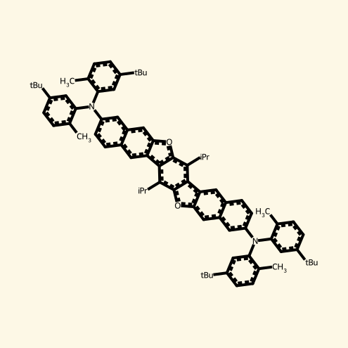 Cc1ccc(C(C)(C)C)cc1N(c1ccc2cc3c(cc2c1)oc1c(C(C)C)c2c(oc4cc5cc(N(c6cc(C(C)(C)C)ccc6C)c6cc(C(C)(C)C)ccc6C)ccc5cc42)c(C(C)C)c13)c1cc(C(C)(C)C)ccc1C